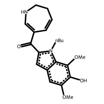 CCCCn1c(C(=O)C2=CNCCC=C2)cc2cc(OC)c(O)c(OC)c21